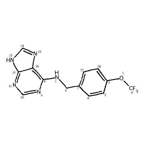 FC(F)(F)Oc1ccc(CNc2ncnc3[nH]cnc23)cc1